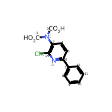 O=C(O)N(C(=O)O)c1ccc(-c2ccccc2)nc1Cl